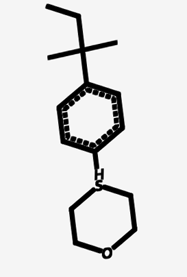 CCC(C)(C)c1ccc([SH]2CCOCC2)cc1